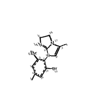 CC1=CN(c2c(Br)cc(C)cc2Br)C2=NCCN12